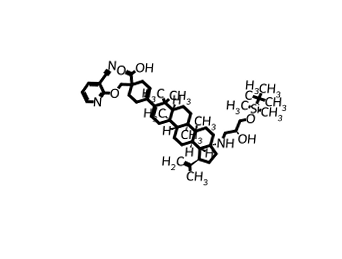 C=C(C)[C@@H]1CC[C@]2(NC[C@@H](O)CO[Si](C)(C)C(C)(C)C)CC[C@]3(C)[C@H](CC[C@@H]4[C@@]5(C)CC=C(C6=CCC(COc7ncccc7C#N)(C(=O)O)CC6)C(C)(C)[C@@H]5CC[C@]43C)[C@@H]12